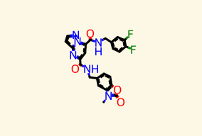 Cn1c(=O)oc2ccc(CNC(=O)c3cc(C(=O)NCc4ccc(F)c(F)c4)n4nccc4n3)cc21